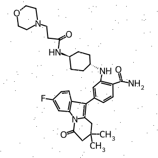 CC1(C)CC(=O)n2c(c(-c3ccc(C(N)=O)c(N[C@H]4CC[C@H](NC(=O)CCN5CCOCC5)CC4)c3)c3ccc(F)cc32)C1